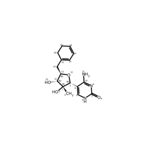 C[C@]1(O)[C@@H](c2c[nH]c(=O)nc2N)O[C@H](CC2=CC=CC[CH]2)[C@H]1O